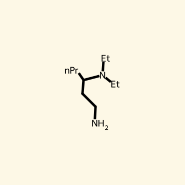 CCCC(CCN)N(CC)CC